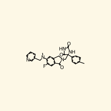 Cc1ccc(C2(CN3Cc4cc(N(C)Cc5cccnc5)c(F)cc4C3=O)NC(=O)NC2=O)cc1